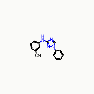 N#Cc1cccc(Nc2ncn(-c3ccccc3)n2)c1